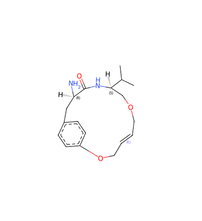 CC(C)[C@H]1COC/C=C/COc2ccc(cc2)C[C@@H](N)C(=O)N1